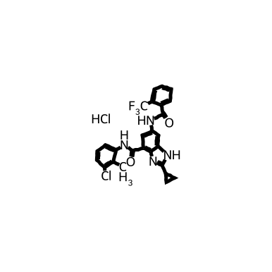 Cc1c(Cl)cccc1NC(=O)c1cc(NC(=O)c2ccccc2C(F)(F)F)cc2[nH]c(C3CC3)nc12.Cl